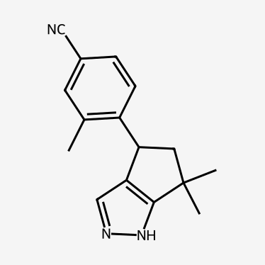 Cc1cc(C#N)ccc1C1CC(C)(C)c2[nH]ncc21